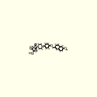 COc1ccc2cc(COc3ccc(N4CCN(S(=O)(=O)N[C@H](C)C(=O)O)CC4)cc3)ccc2c1